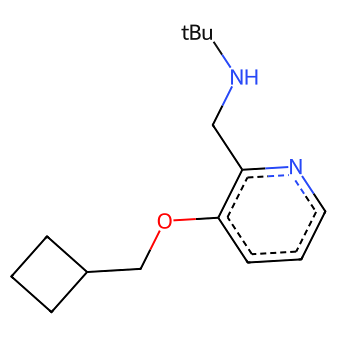 CC(C)(C)NCc1ncccc1OCC1CCC1